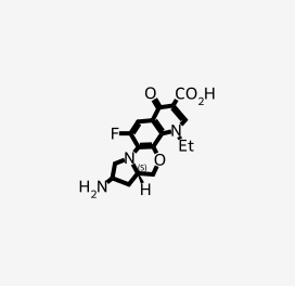 CCn1cc(C(=O)O)c(=O)c2cc(F)c3c(c21)OC[C@@H]1CC(N)CN31